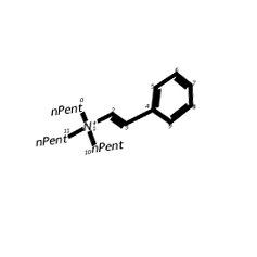 CCCCC[N+](C=Cc1ccccc1)(CCCCC)CCCCC